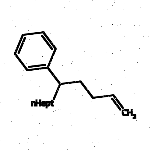 C=CCCC(CCCCCCC)c1ccccc1